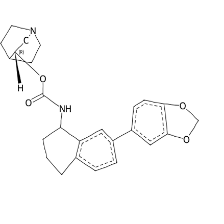 O=C(NC1CCCc2ccc(-c3ccc4c(c3)OCO4)cc21)O[C@H]1CN2CCC1CC2